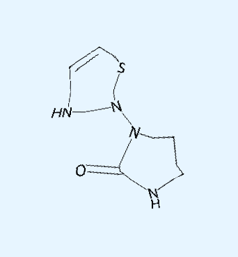 O=C1NCCN1N1NC=CS1